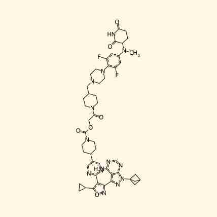 CN(c1cc(F)c(N2CCN(CC3CCN(C(=O)COC(=O)N4CCC(c5cnc(-c6c(-c7nn(C89CC(C8)C9)c8ncnc(N)c78)noc6C6CC6)nc5)CC4)CC3)CC2)c(F)c1)C1CCC(=O)NC1=O